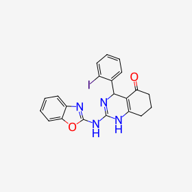 O=C1CCCC2=C1C(c1ccccc1I)N=C(Nc1nc3ccccc3o1)N2